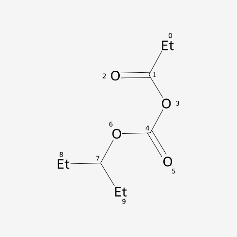 CCC(=O)OC(=O)OC(CC)CC